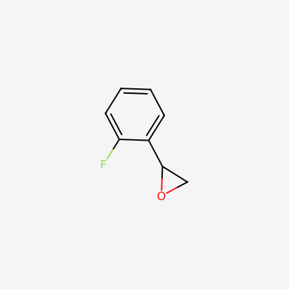 Fc1ccccc1C1CO1